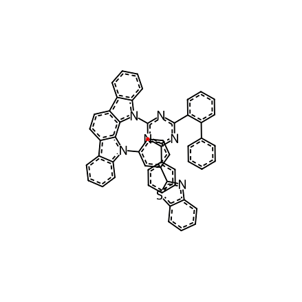 c1ccc(-c2nc(-c3ccccc3-c3ccccc3)nc(-n3c4ccccc4c4ccc5c6ccccc6n(-c6cccc(-c7nc8ccccc8s7)c6)c5c43)n2)cc1